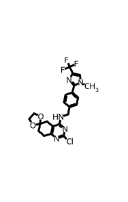 Cn1cc(C(F)(F)F)nc1-c1ccc(CNc2nc(Cl)nc3c2CC2(CC3)OCCO2)cc1